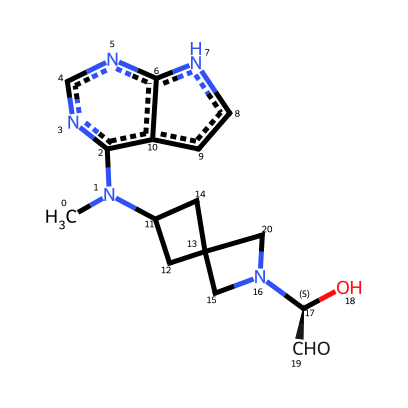 CN(c1ncnc2[nH]ccc12)C1CC2(C1)CN([C@@H](O)C=O)C2